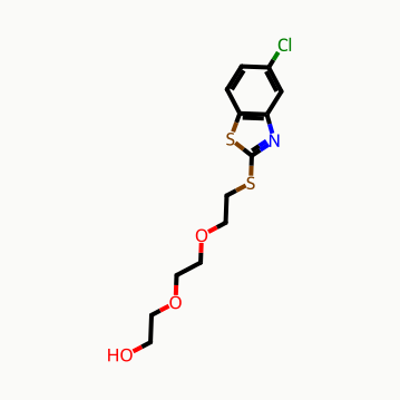 OCCOCCOCCSc1nc2cc(Cl)ccc2s1